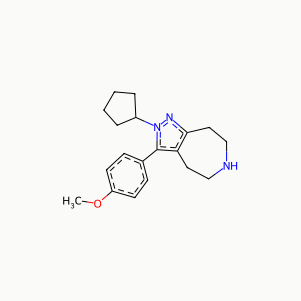 COc1ccc(-c2c3c(nn2C2CCCC2)CCNCC3)cc1